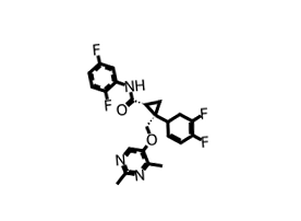 Cc1ncc(OC[C@@]2(C3C=CC(F)=C(F)C3)C[C@H]2C(=O)Nc2cc(F)ccc2F)c(C)n1